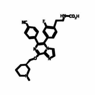 CN1CCC[C@@H](COc2nc(-c3ccc(C#N)cc3)c(-c3ccc(CCNC(=O)O)c(F)c3)n3ccnc23)C1